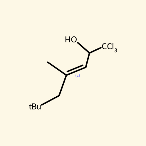 C/C(=C\C(O)C(Cl)(Cl)Cl)CC(C)(C)C